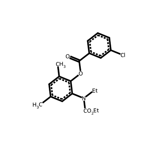 CCOC(=O)N(CC)c1cc(C)cc(C)c1OC(=O)c1cccc(Cl)c1